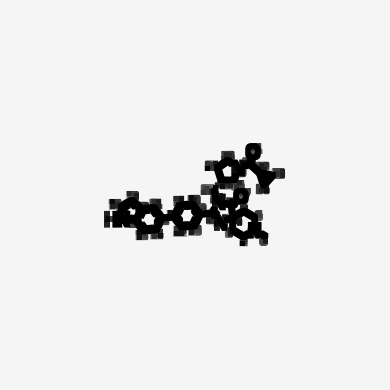 CN1CCC2(CC1)N=C(c1ccc(-c3ccc4[nH]ccc4c3)cc1)N(C[C@@H]1CCN(C(=O)C3CC3)C1)C2=O